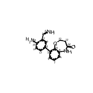 N=Cc1cc(-c2cccc3c2OCCC(=O)N3)ccc1N